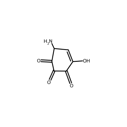 NC1C=C(O)C(=O)C(=O)C1=O